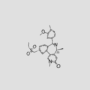 CCS(=O)(=O)Cc1ccc2c(c1)-c1cn(C)c(=O)cc1[C@H](C)N=C2c1ccc(C)c(OC)c1